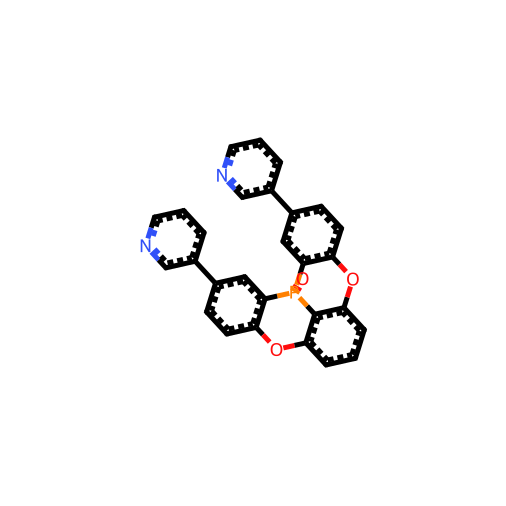 O=P12c3cc(-c4cccnc4)ccc3Oc3cccc(c31)Oc1ccc(-c3cccnc3)cc12